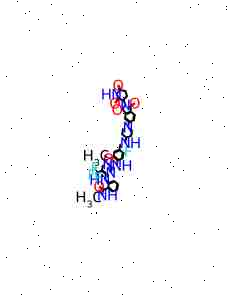 CNC(=O)c1ccccc1Nc1nc(Nc2cc(F)c(CNC3CCN(c4ccc5c(c4)C(=O)N(C4CCC(=O)NC4=O)C5=O)CC3)cc2OC)ncc1C(F)(F)F